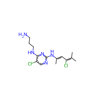 CC(C)=C(Cl)/C=C(\C)Nc1ncc(Cl)c(NCCCN)n1